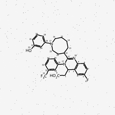 O=C(O)CC1c2cc(F)ccc2N=C(C2CCCCN(c3cccc(O)c3)CC2)N1c1cccc(C(F)(F)F)c1